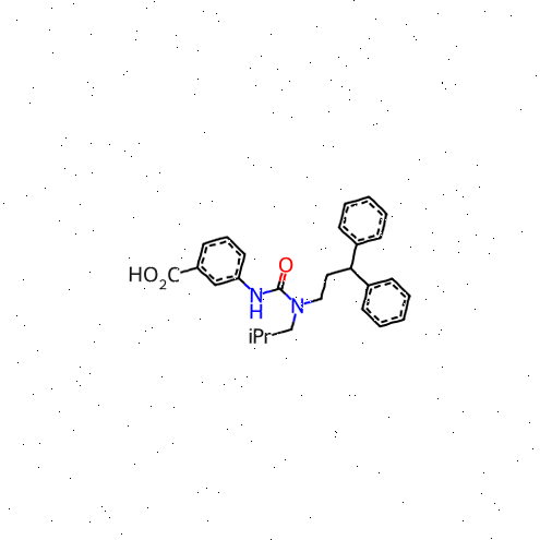 CC(C)CN(CCC(c1ccccc1)c1ccccc1)C(=O)Nc1cccc(C(=O)O)c1